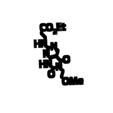 CCOC(=O)CCNc1ncc2c(=O)n(CCOC)c(=O)[nH]c2n1